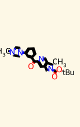 CC1c2cnc(C(=O)c3cccc(N4CCN(C)CC4)c3)cc2CN1C(=O)OC(C)(C)C